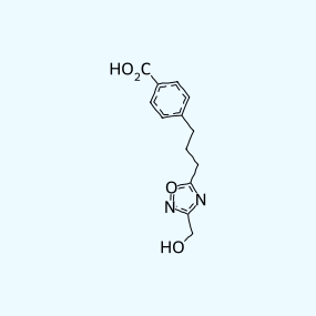 O=C(O)c1ccc(CCCc2nc(CO)no2)cc1